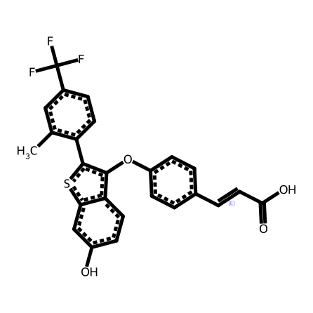 Cc1cc(C(F)(F)F)ccc1-c1sc2cc(O)ccc2c1Oc1ccc(/C=C/C(=O)O)cc1